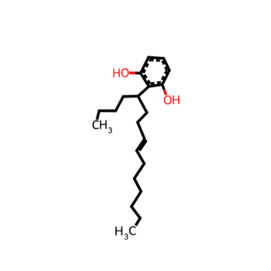 CCCCCCC=CCCC(CCCC)c1c(O)cccc1O